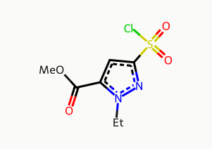 CCn1nc(S(=O)(=O)Cl)cc1C(=O)OC